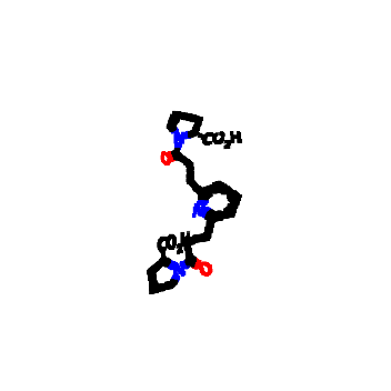 O=C(O)[C@H]1CCCN1C(=O)CCc1cccc(CCC(=O)N2CCC[C@@H]2C(=O)O)n1